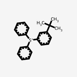 CC(C)(C)c1cccc([S+](c2ccccc2)c2ccccc2)c1